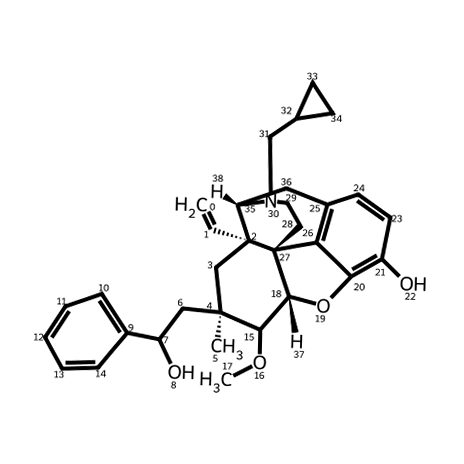 C=C[C@@]12C[C@](C)(CC(O)c3ccccc3)C(OC)[C@H]3Oc4c(O)ccc5c4[C@]31CCN(CC1CC1)[C@H]2C5